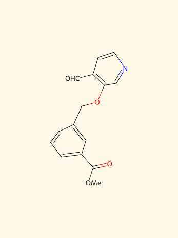 COC(=O)c1cccc(COc2cnccc2C=O)c1